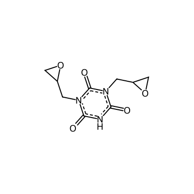 O=c1[nH]c(=O)n(CC2CO2)c(=O)n1CC1CO1